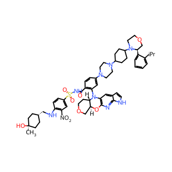 CC(C)c1ccccc1[C@@H]1COCCN1C1CCC(N2CCN(c3ccc(C(=O)NS(=O)(=O)c4ccc(NC[C@H]5CC[C@](C)(O)CC5)c([N+](=O)[O-])c4)c(N4c5cc6cc[nH]c6nc5O[C@H]5COCC[C@@H]54)c3)CC2)CC1